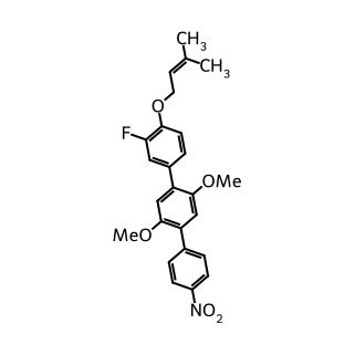 COc1cc(-c2ccc(OCC=C(C)C)c(F)c2)c(OC)cc1-c1ccc([N+](=O)[O-])cc1